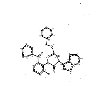 O=C(NC(C(=O)Nc1c(F)cccc1C(=O)c1ccccc1)n1nnc2ccccc21)OCc1ccccc1